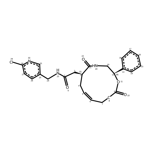 O=C(C[C@@H]1CC=CCCC(=O)O[C@H](c2ccccc2)CNC1=O)NCc1ccc(Cl)nc1